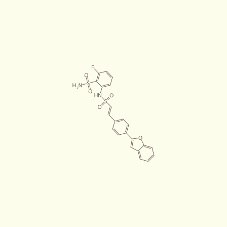 NS(=O)(=O)c1c(F)cccc1NS(=O)(=O)C=Cc1ccc(-c2cc3ccccc3o2)cc1